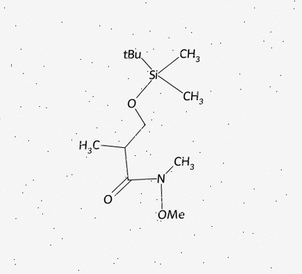 CON(C)C(=O)C(C)CO[Si](C)(C)C(C)(C)C